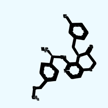 COCc1ccc([C@H](C)Nc2nccc3c2N(Cc2cccc(Cl)c2)C(=O)CS3)cc1